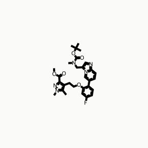 COC(=O)c1nn(C)c(C)c1CCOc1cc(F)ccc1-c1ccc2ncc(CN(C)C(=O)OC(C)(C)C)n2c1